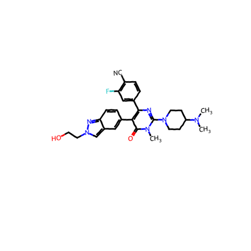 CN(C)C1CCN(c2nc(-c3ccc(C#N)c(F)c3)c(-c3ccc4nn(CCO)cc4c3)c(=O)n2C)CC1